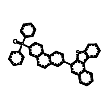 O=P(c1ccccc1)(c1ccccc1)c1ccc2c(ccc3cc(-c4cc5ccccc5c5c4sc4ccccc45)ccc32)c1